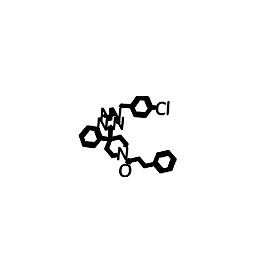 O=C(CCc1ccccc1)N1CCC(c2ccccc2)(c2nnn(Cc3ccc(Cl)cc3)n2)CC1